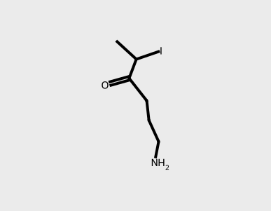 CC(I)C(=O)CCCN